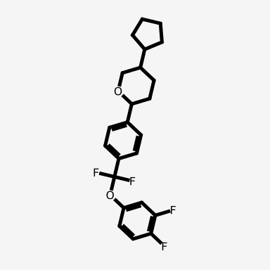 Fc1ccc(OC(F)(F)c2ccc(C3CCC(C4CCCC4)CO3)cc2)cc1F